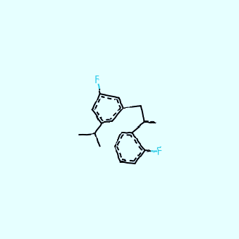 CC(C)c1cc(F)cc(CC(C)c2ccccc2F)c1